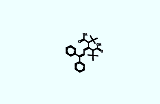 CC(C)(C)C(C(=O)O)C(=CC=C(c1ccccc1)c1ccccc1)C(C(=O)O)C(C)(C)C